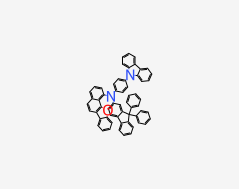 c1ccc(C2(c3ccccc3)c3ccccc3-c3ccc(N(c4ccc(-n5c6ccccc6c6ccccc65)cc4)c4cccc5ccc6c7ccccc7oc6c45)cc32)cc1